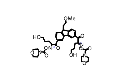 COCCC1c2ccc(C(=O)/C(CCCO)=N/OC(=O)N3CCOCC3)cc2-c2cc(C(=O)/C(CCCO)=N/OC(=O)N3CCOCC3)ccc21